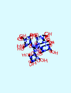 O=C(O)CCN1CCN(CC(=O)O)CCN(CC(=O)NCC(CNC(=O)CN2CCN(CC(=O)O)CCN(CC(=O)O)CCN(CC(=O)O)CC2)(CNC(=O)CN2CCN(CC(=O)O)CCN(CC(=O)O)CCN(CC(=O)O)CC2)CNC(=O)CN2CCN(CC(=O)O)CCN(CC(=O)O)CCN(CC(=O)O)CC2)CCN(CC(O)O)CC1